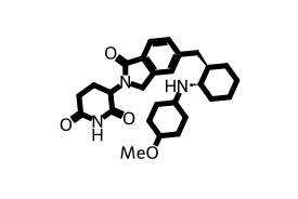 COC1CCC(N[C@H]2CCCC[C@@H]2Cc2ccc3c(c2)CN(C2CCC(=O)NC2=O)C3=O)CC1